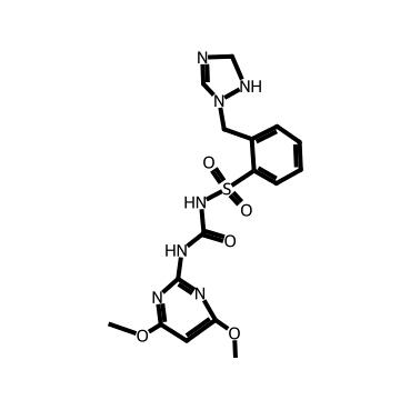 COc1cc(OC)nc(NC(=O)NS(=O)(=O)c2ccccc2CN2C=NCN2)n1